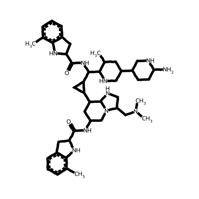 Cc1cccc2c1NC(C(=O)NC1CC(C3CC3C(NC(=O)C3Cc4cccc(C)c4N3)C3NCC(C4CCC(N)NC4)CC3C)C3NCC(CN(C)C)N3C1)C2